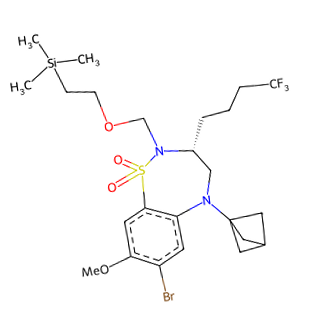 COc1cc2c(cc1Br)N(C13CC(C1)C3)C[C@@H](CCCC(F)(F)F)N(COCC[Si](C)(C)C)S2(=O)=O